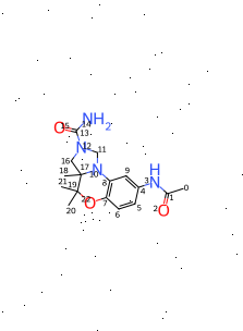 CC(=O)Nc1ccc2c(c1)N1CN(C(N)=O)CC1(C)C(C)(C)O2